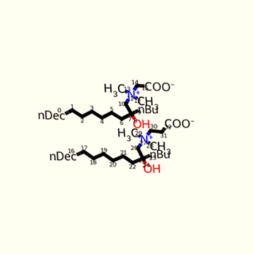 CCCCCCCCCCCCCCCCC(O)(CCCC)C[N+](C)(C)CC(=O)[O-].CCCCCCCCCCCCCCCCC(O)(CCCC)C[N+](C)(C)CCC(=O)[O-]